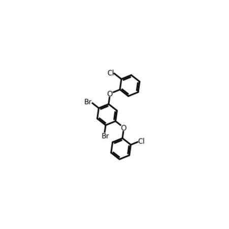 Clc1ccccc1Oc1cc(Oc2ccccc2Cl)c(Br)cc1Br